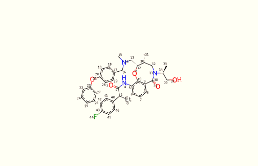 CCC(C(=O)Nc1cccc2c1O[C@H](CN(C)Cc1ccc(Oc3ccccc3)cc1)[C@H](C)CN([C@@H](C)CO)C2=O)c1ccc(F)cc1